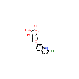 C#C[C@@]1(O)[C@@H](COc2ccc3ccc(Cl)nc3c2)OC(O)[C@@H]1O